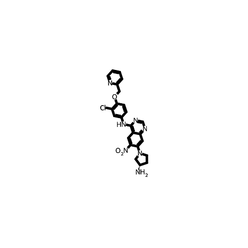 N[C@H]1CCN(c2cc3ncnc(Nc4ccc(OCc5ccccn5)c(Cl)c4)c3cc2[N+](=O)[O-])C1